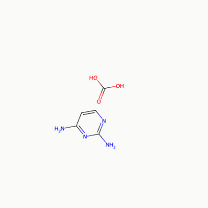 Nc1ccnc(N)n1.O=C(O)O